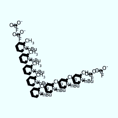 CCCC[n+]1ccccc1C.CCCC[n+]1ccccc1C.CCCC[n+]1ccccc1C.CCCC[n+]1ccccc1C.CCCC[n+]1ccccc1C.CCCC[n+]1ccccc1C.CCCC[n+]1ccccc1C.CCCC[n+]1ccccc1C.[O-]B([O-])F.[O-]B([O-])F.[O-]B([O-])F.[O-]B([O-])F